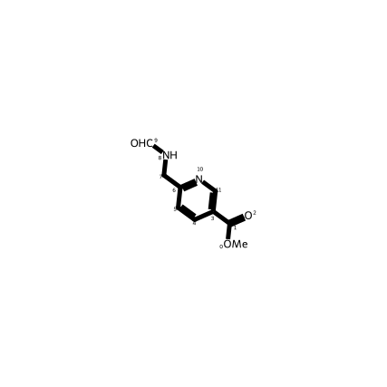 COC(=O)c1ccc(CNC=O)nc1